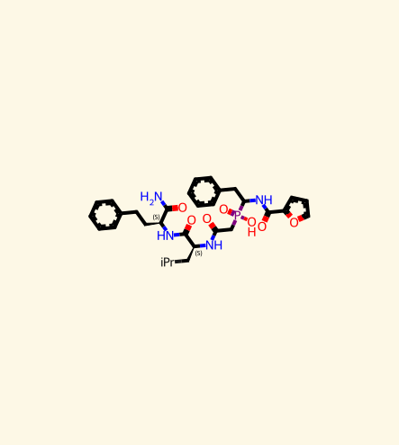 CC(C)C[C@H](NC(=O)CP(=O)(O)C(Cc1ccccc1)NC(=O)c1ccco1)C(=O)N[C@@H](CCc1ccccc1)C(N)=O